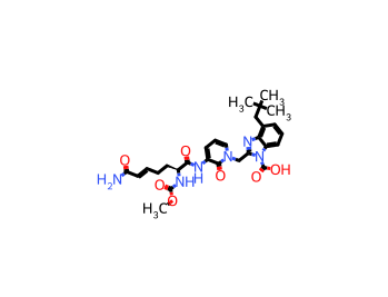 COC(=O)N[C@@H](CC/C=C/C(N)=O)C(=O)Nc1cccn(Cc2nc3c(CC(C)(C)C)cccc3n2C(=O)O)c1=O